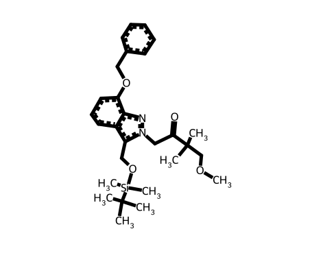 COCC(C)(C)C(=O)Cn1nc2c(OCc3ccccc3)cccc2c1CO[Si](C)(C)C(C)(C)C